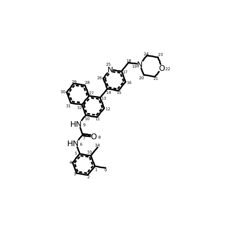 Cc1cccc(NC(=O)Nc2ccc(-c3ccc(CN4CCOCC4)nc3)c3ccccc23)c1C